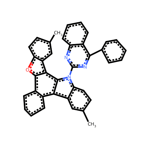 Cc1ccc2oc3c4ccccc4c4c5cc(C)ccc5n(-c5nc(-c6ccccc6)c6ccccc6n5)c4c3c2c1